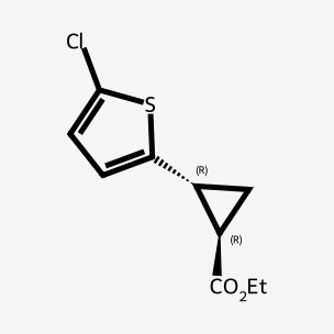 CCOC(=O)[C@@H]1C[C@H]1c1ccc(Cl)s1